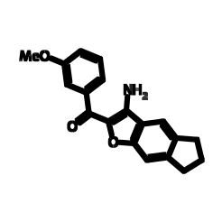 COc1cccc(C(=O)c2oc3cc4c(cc3c2N)CCC4)c1